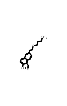 CCCCOCCc1ccc2c(C=O)c(O)ccc2c1